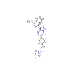 CCSc1ccc(-c2cnn3cc(-c4ccc(CCCN5CCCC5)cc4)cnc23)c2ccccc12